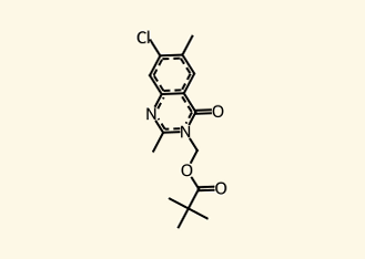 Cc1cc2c(=O)n(COC(=O)C(C)(C)C)c(C)nc2cc1Cl